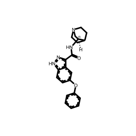 O=C(N[C@H]1CN2CCC1CC2)c1n[nH]c2ccc(Oc3ccccc3)cc12